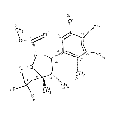 COC(=O)[C@H]1O[C@@](C)(C(F)(F)F)[C@@H](C)[C@H]1c1cc(Cl)c(F)c(F)c1C